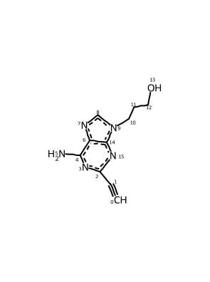 C#Cc1nc(N)c2ncn(CCCO)c2n1